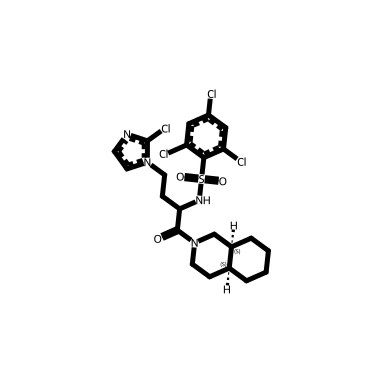 O=C(C(CCn1ccnc1Cl)NS(=O)(=O)c1c(Cl)cc(Cl)cc1Cl)N1CC[C@@H]2CCCC[C@@H]2C1